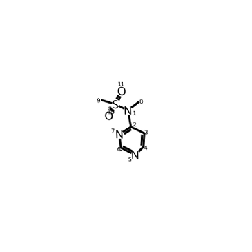 CN(c1ccn[c]n1)S(C)(=O)=O